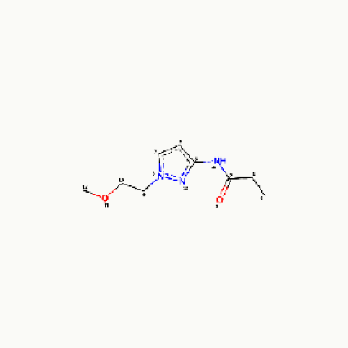 CCC(=O)Nc1ccn(CCOC)n1